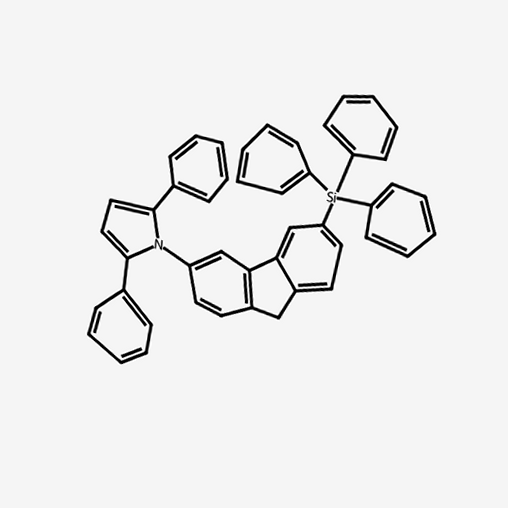 c1ccc(-c2ccc(-c3ccccc3)n2-c2ccc3c(c2)-c2cc([Si](c4ccccc4)(c4ccccc4)c4ccccc4)ccc2C3)cc1